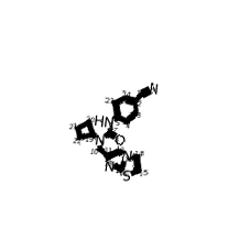 N#Cc1ccc(NC(=O)N(Cc2cn3ccsc3n2)C2CCC2)cc1